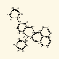 C1=Cc2cccc3cc4c(c(c23)C1)Sc1cc(-c2ccccc2)ccc1N4c1ccccc1